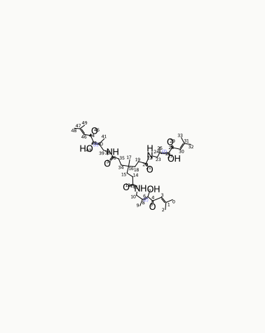 CC(C)=CC(=O)/C(O)=C(\C)CNC(=O)CCC(C)(CCC(=O)NC/C(C)=C(\O)C(=O)C=C(C)C)CCC(=O)NC/C(C)=C(\O)C(=O)C=C(C)C